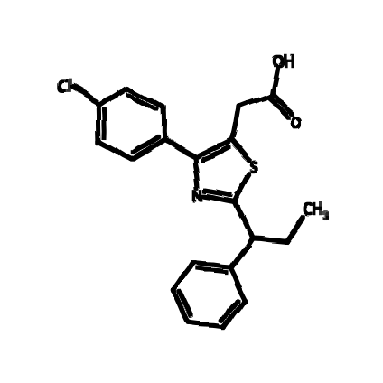 CCC(c1ccccc1)c1nc(-c2ccc(Cl)cc2)c(CC(=O)O)s1